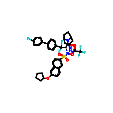 NC1CC2CCC(C1)N2C(=O)[C@H](N(OC(=O)C(F)(F)F)S(=O)(=O)c1ccc2cc(OC3CCCC3)ccc2c1)C(F)(F)c1ccc(-c2ccc(F)cc2)cc1